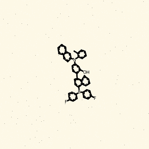 Cc1ccccc1N(c1ccc(-c2ccc(B(c3ccc(F)cc3)c3ccc(F)cc3)c3ccccc23)c(O)c1)c1ccc2ccccc2c1